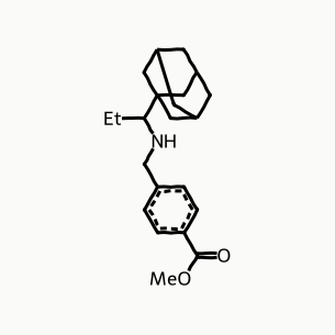 CCC(NCc1ccc(C(=O)OC)cc1)C12CC3CC(CC(C3)C1)C2